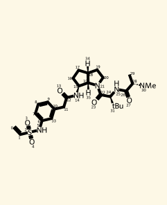 C=CS(=O)(=O)Nc1cccc(CC(=O)N[C@H]2CC[C@@H]3CCN(C(=O)[C@@H](NC(=O)[C@H](C)NC)C(C)(C)C)[C@@H]32)c1